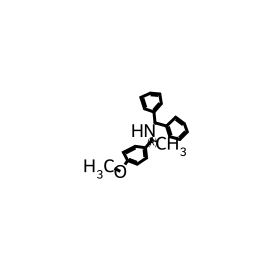 COc1ccc([C@@H](C)NC(c2ccccc2)c2ccccc2)cc1